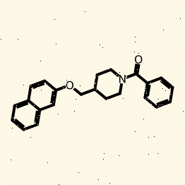 O=C(c1ccccc1)N1CCC(COc2ccc3ccccc3c2)CC1